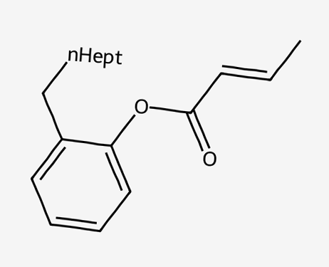 C/C=C/C(=O)Oc1ccccc1CCCCCCCC